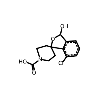 O=C(O)N1CCC2(CC1)OC(O)c1cccc(Cl)c12